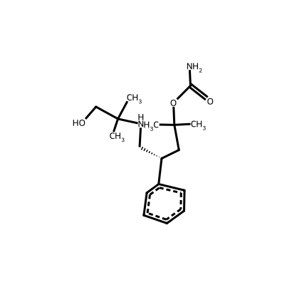 CC(C)(CO)NC[C@H](CC(C)(C)OC(N)=O)c1ccccc1